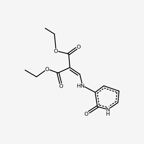 CCOC(=O)C(=CNc1ccc[nH]c1=O)C(=O)OCC